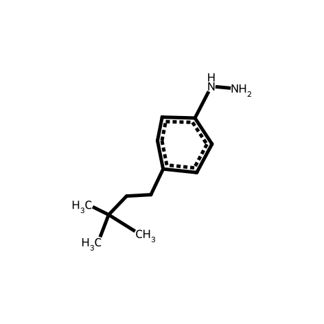 CC(C)(C)CCc1ccc(NN)cc1